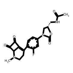 CC(=O)NC[C@H]1CN(c2ccc(C3=C4C(=O)C(=O)C4N(C)CC3)c(F)c2)C(=O)O1